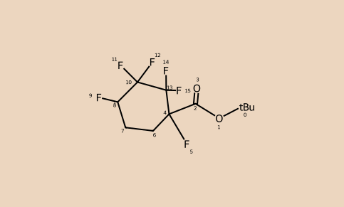 CC(C)(C)OC(=O)C1(F)CC[C](F)C(F)(F)C1(F)F